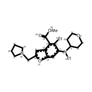 CCc1c(N(CC)C2CCOCC2)cc2oc(CN3CCCC3)cc2c1C(=O)OC